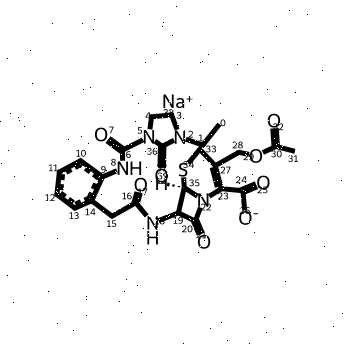 CCN1CCN(C(=O)Nc2ccccc2CC(=O)NC2C(=O)N3C(C(=O)[O-])=C(COC(C)=O)CS[C@H]23)C1=O.[Na+]